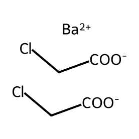 O=C([O-])CCl.O=C([O-])CCl.[Ba+2]